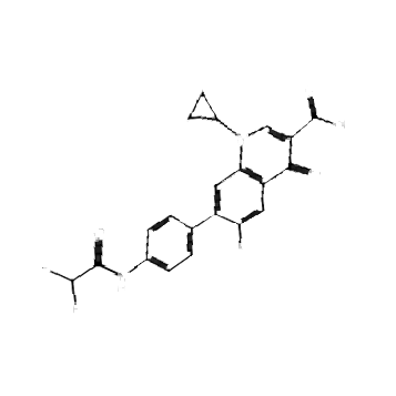 O=C(O)c1cn(C2CC2)c2cc(-c3ccc(NC(=O)C(F)F)cc3)c(F)cc2c1=O